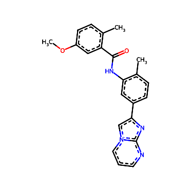 COc1ccc(C)c(C(=O)Nc2cc(-c3cn4cccnc4n3)ccc2C)c1